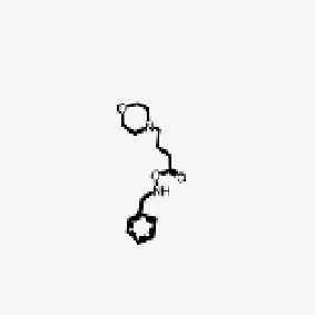 O=C(CCCN1CCOCC1)ONCc1ccccc1